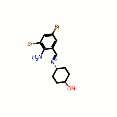 Nc1c(Br)cc(Br)cc1/C=N/[C@H]1CC[C@H](O)CC1